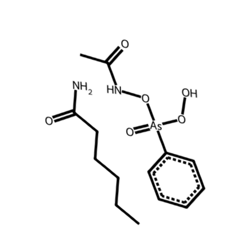 CC(=O)NO[As](=O)(OO)c1ccccc1.CCCCCC(N)=O